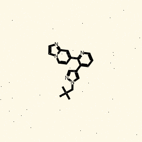 CC(C)(C)Cn1cc(-c2cccnc2-c2ccn3ccnc3c2)cn1